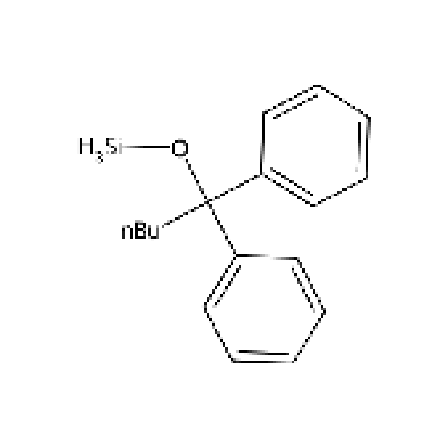 CCCCC(O[SiH3])(c1ccccc1)c1ccccc1